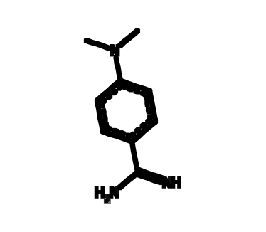 CN(C)c1ccc(C(=N)N)cc1